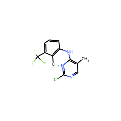 Cc1cnc(Cl)nc1Nc1cccc(C(F)(F)F)c1C